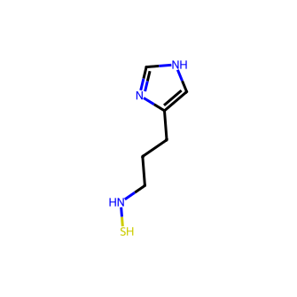 SNCCCc1c[nH]cn1